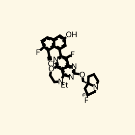 C#Cc1c(F)ccc2cc(O)cc(-c3nc4c5c(nc(OC[C@@]67CCCN6C[C@H](F)C7)nc5c3F)N(CC)CCO4)c12